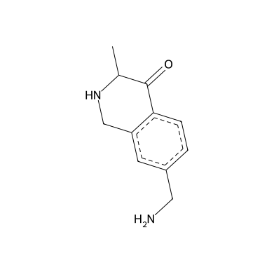 CC1NCc2cc(CN)ccc2C1=O